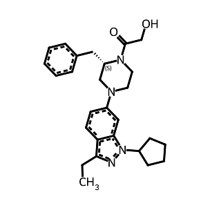 CCc1nn(C2CCCC2)c2cc(N3CCN(C(=O)CO)[C@@H](Cc4ccccc4)C3)ccc12